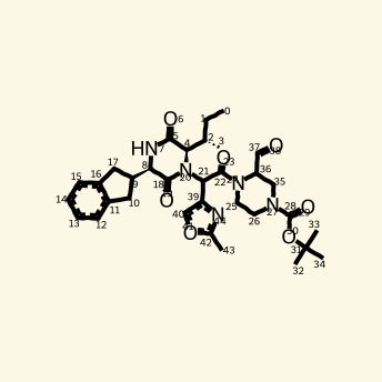 CC[C@H](C)[C@@H]1C(=O)N[C@H](C2Cc3ccccc3C2)C(=O)N1C(C(=O)N1CCN(C(=O)OC(C)(C)C)CC1C=O)c1coc(C)n1